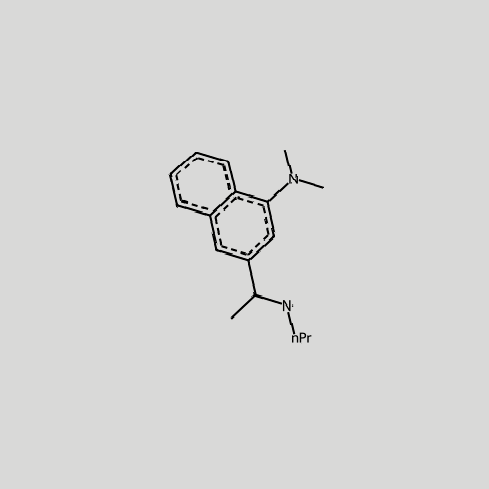 CCC[N]C(C)c1cc(N(C)C)c2ccccc2c1